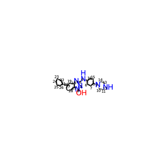 O[n+]1nc(Nc2ccc(N3CCNCC3)cc2)nc2cc(-c3ccccc3)ccc21